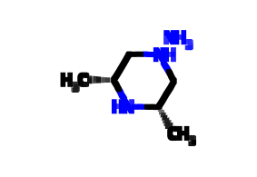 C[C@@H]1CNC[C@H](C)N1.N